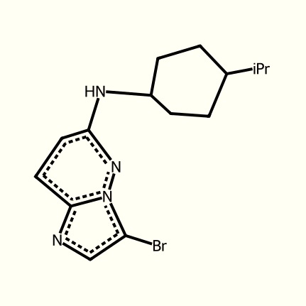 CC(C)C1CCC(Nc2ccc3ncc(Br)n3n2)CC1